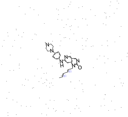 C/C=C/C=C/Cn1c(=O)ncc2cnc(Nc3ccc(N4CCN(C)CC4)cc3)cc21